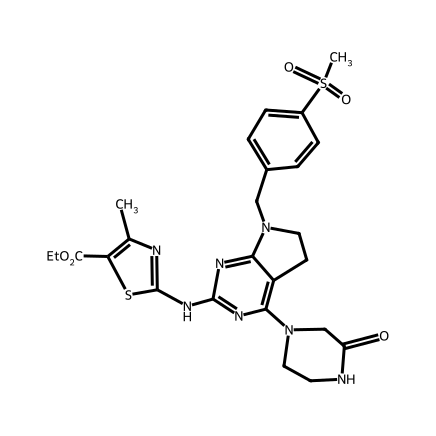 CCOC(=O)c1sc(Nc2nc(N3CCNC(=O)C3)c3c(n2)N(Cc2ccc(S(C)(=O)=O)cc2)CC3)nc1C